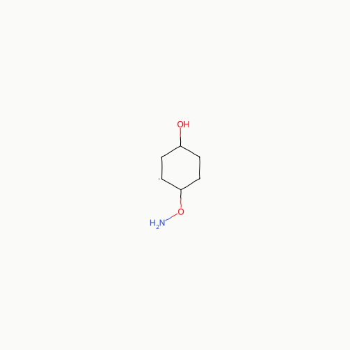 NOC1[CH]CC(O)CC1